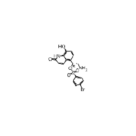 NC[C@H](OS(=O)(=O)c1ccc(Br)cc1)c1ccc(O)c2[nH]c(=O)ccc12